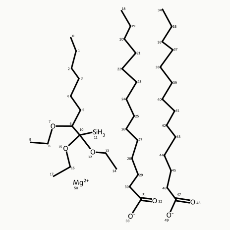 CCCCCCC(OCC)C([SiH3])(OCC)OCC.CCCCCCCCCCCCCC(=O)[O-].CCCCCCCCCCCCCC(=O)[O-].[Mg+2]